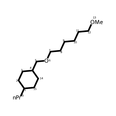 CCCC1CCC(COCCCCCCOC)CC1